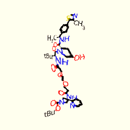 Cc1ncsc1-c1ccc([C@H](C)NC(=O)[C@@H]2C[C@@H](O)CN2C(=O)[C@@H](NC(=O)COCCOCCC(=O)NC2(c3ccccn3)CN(C(=O)OC(C)(C)C)C2)C(C)(C)C)cc1